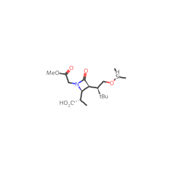 COC(=O)CN1C(=O)[C@@H]([C@@H](CO[SiH](C)C)C(C)(C)C)[C@H]1[C@H](C)C(=O)O